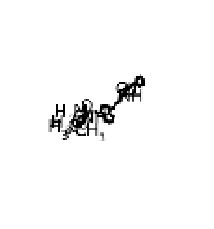 CC(C)(C)OC(=O)N[C@@H](CCc1ccc(CCCCNC(=O)OCc2ccccc2)c2c1CCCC2)C(N)=O